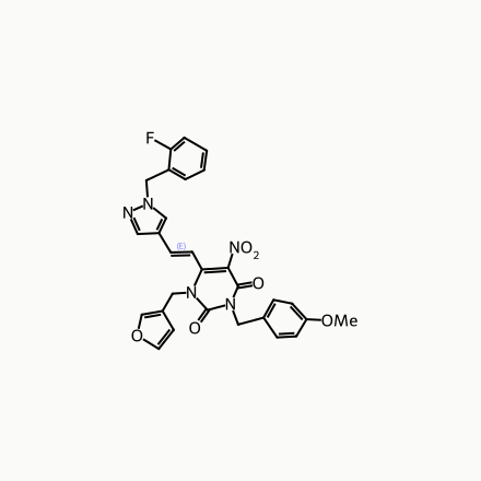 COc1ccc(Cn2c(=O)c([N+](=O)[O-])c(/C=C/c3cnn(Cc4ccccc4F)c3)n(Cc3ccoc3)c2=O)cc1